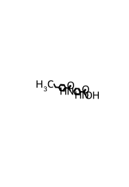 CCCc1ccc(C(=O)Nc2ccc(C(=O)NO)cc2)cc1